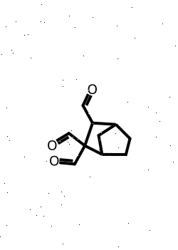 O=CC1C2CCC(C2)C1(C=O)C=O